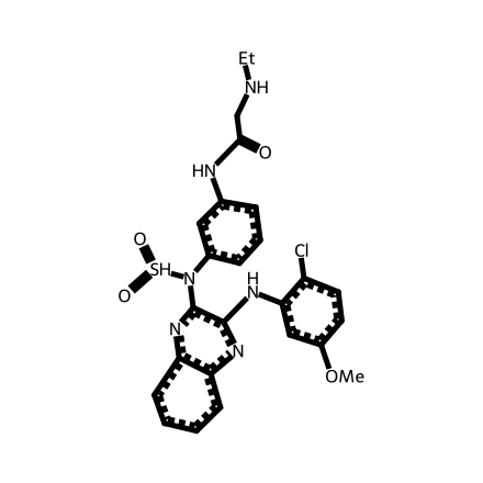 CCNCC(=O)Nc1cccc(N(c2nc3ccccc3nc2Nc2cc(OC)ccc2Cl)[SH](=O)=O)c1